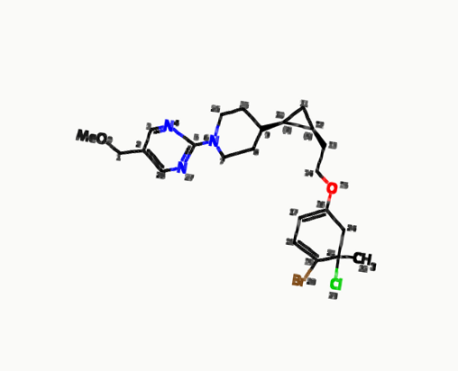 COCc1cnc(N2CCC([C@H]3C[C@H]3CCOC3=CC=C(Br)C(C)(Cl)C3)CC2)nc1